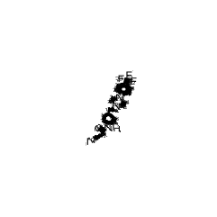 N#CCC(=O)N[C@H]1CC[C@@H](CCN2CCN(c3ccc(C(F)(F)F)cc3)CC2)CC1